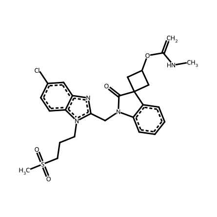 C=C(NC)OC1CC2(C1)C(=O)N(Cc1nc3cc(Cl)ccc3n1CCCS(C)(=O)=O)c1ccccc12